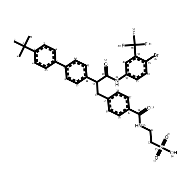 CC(C)(C)c1ccc(-c2ccc(C(Cc3ccc(C(=O)NCCS(=O)(=O)O)cc3)C(=O)Nc3ccc(Br)c(C(F)(F)F)c3)cc2)cc1